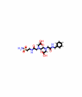 NS(=O)(=O)CCNC(=O)CN(CCN(CC(=O)O)CC(=O)NCc1ccccc1)CC(=O)O